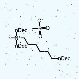 CCCCCCCCCCCCCCCC[N+](C)(CCCCCCCCCC)CCCCCCCCCC.CS(=O)(=O)[O-]